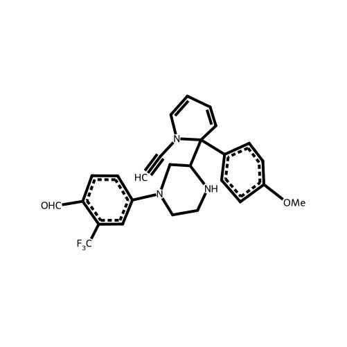 C#CN1C=CC=CC1(c1ccc(OC)cc1)C1CN(c2ccc(C=O)c(C(F)(F)F)c2)CCN1